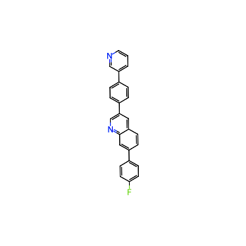 Fc1ccc(-c2ccc3cc(-c4ccc(-c5cccnc5)cc4)cnc3c2)cc1